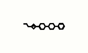 CCCC12CC(C3=CCC(C4CCC(c5ccccc5)CC4)CC3)(C1)C2